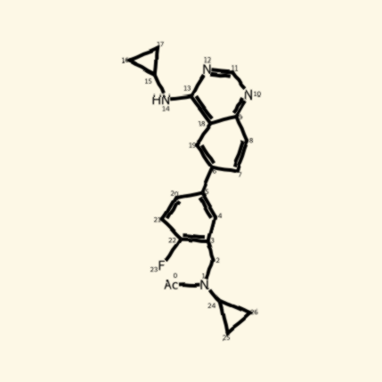 CC(=O)N(Cc1cc(-c2ccc3ncnc(NC4CC4)c3c2)ccc1F)C1CC1